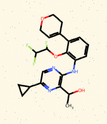 CC(O)c1nc(C2CC2)cnc1Nc1cccc(C2=CCOCC2)c1OC(F)C(F)F